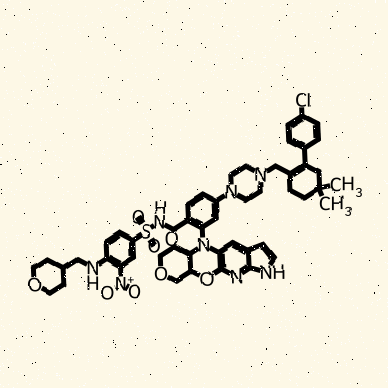 CC1(C)CCC(CN2CCN(c3ccc(C(=O)NS(=O)(=O)c4ccc(NCC5CCOCC5)c([N+](=O)[O-])c4)c(N4c5cc6cc[nH]c6nc5OC5COCCC54)c3)CC2)=C(c2ccc(Cl)cc2)C1